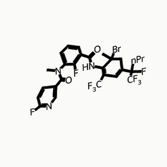 CCCC(F)(C1=CC(C(F)(F)F)=C(NC(=O)c2cccc(N(C)C(=O)c3ccc(F)nc3)c2F)C(C)(Br)C1)C(F)(F)F